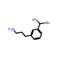 CCCCC(CCC)c1cccc(CCCN)c1